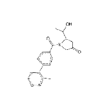 Cc1ccccc1-c1ccc(C(=O)N2CC(=O)CC2C(C)O)cc1